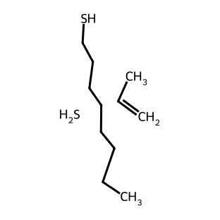 C=CC.CCCCCCCCS.S